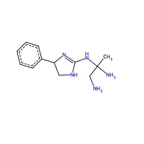 CC(N)(CN)NC1=NC(c2ccccc2)CN1